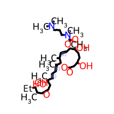 CCC(O)C(C)C1OC1CC(C)(O)/C=C/C=C(\C)C1OC(=O)CC(O)CCC(C)(O)C(OC(=O)N(C)CCCN(C)C)/C=C/C1C